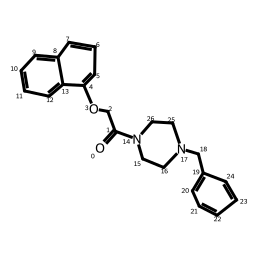 O=C(COc1cccc2ccccc12)N1CCN(Cc2ccccc2)CC1